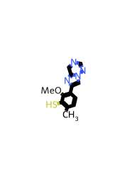 COc1c(-c2cn3ncncc3n2)ccc(C)c1S